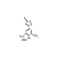 CCCCOc1c(C)cc(-c2cc(=S)ss2)cc1C